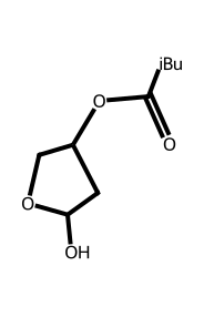 CCC(C)C(=O)OC1COC(O)C1